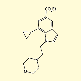 CCOC(=O)c1cc(C2CC2)c2c(ccn2CCN2CCOCC2)c1